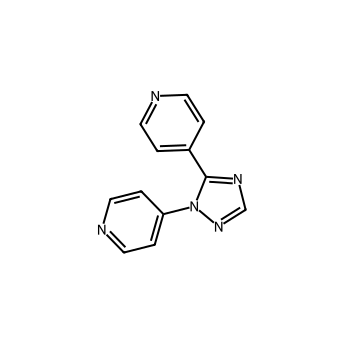 c1cc(-c2ncnn2-c2ccncc2)ccn1